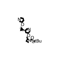 CC(C)(C)OC(=O)N1CCC1COc1cncc([C@H]2C[C@@H]2COc2cccnc2)c1